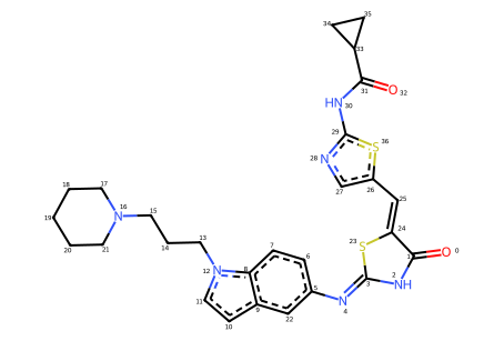 O=C1N/C(=N/c2ccc3c(ccn3CCCN3CCCCC3)c2)S/C1=C\c1cnc(NC(=O)C2CC2)s1